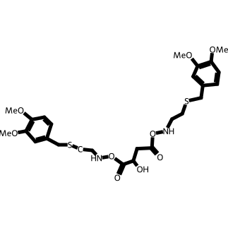 COc1ccc(CSCCNOC(=O)CC(O)C(=O)ONCCSCc2ccc(OC)c(OC)c2)cc1OC